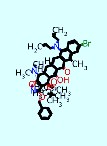 C=CCN(CC=C)c1c2c(c(C)c3cc(Br)ccc13)C(=O)C1=C(O)[C@]3(O[Si](C)(C)C(C)(C)C)C(=O)c4c(OCc5ccccc5)noc4[C@@H](N(C)C)[C@@H]3C[C@@H]1C2